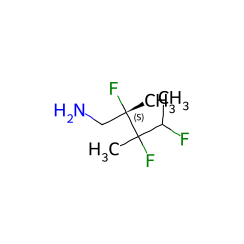 CC(F)C(C)(F)[C@@](C)(F)CN